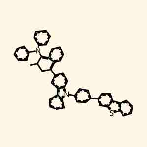 CC1CC(c2ccc3c(c2)c2ccccc2n3-c2ccc(-c3ccc4c(c3)sc3ccccc34)cc2)=c2ccccc2=C1N(c1ccccc1)c1ccccc1